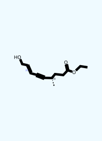 CCOC(=O)CC[C@H](C)C#C/C=C/CO